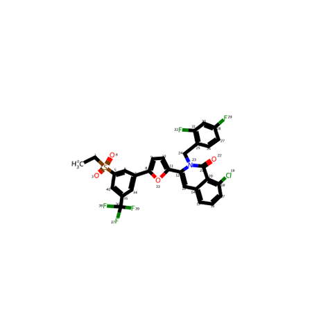 CCS(=O)(=O)c1cc(-c2ccc(-c3cc4cccc(Cl)c4c(=O)n3Cc3ccc(F)cc3F)o2)cc(C(F)(F)F)c1